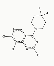 Fc1c(Cl)ncc2c(N3CCC(F)(F)CC3)nc(Cl)nc12